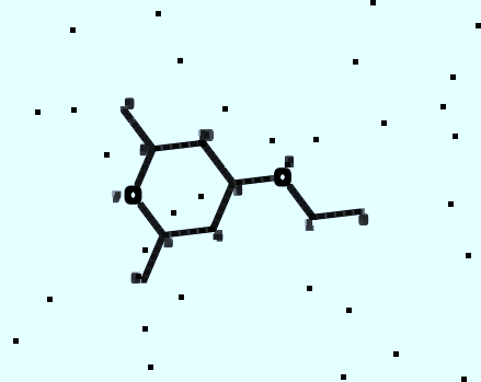 CCOC1CC(C)OC(C)C1